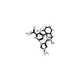 CCN(Cc1cn(C)cn1)CC1CCCC(C)C1(OC)c1ccnc(C(N)=O)c1